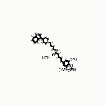 CCC(=O)Oc1c(OC)cc(C=CC=CC(=O)NCCCCN2CCC(c3c[nH]c4ccccc34)CC2)cc1OC.Cl